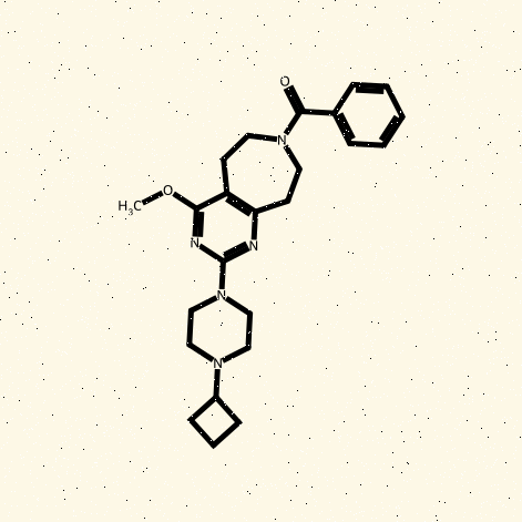 COc1nc(N2CCN(C3CCC3)CC2)nc2c1CCN(C(=O)c1ccccc1)CC2